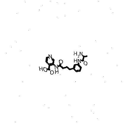 CC(N)C(=O)Nc1cccc(CCCC(=O)Nc2cnccc2C(=O)O)c1